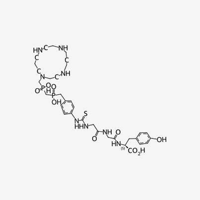 O=C(CNC(=S)Nc1ccc(CP(=O)(O)CP(=O)(O)CN2CCCNCCNCCCNCC2)cc1)NCC(=O)N[C@@H](Cc1ccc(O)cc1)C(=O)O